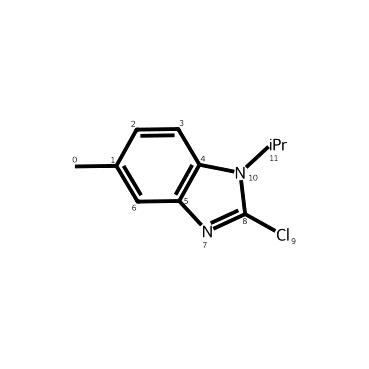 Cc1ccc2c(c1)nc(Cl)n2C(C)C